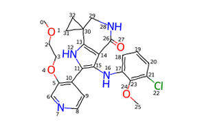 COCCOc1cnccc1-c1[nH]c2c(c1Nc1cccc(Cl)c1OC)C(=O)NCC21CC1